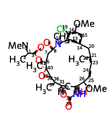 CN[C@H](C)C(=O)O[C@H]1CC(=O)N(C)c2cc(cc(OC)c2Cl)C/C(C)=C/C=C/[C@@H](OC)[C@@]2(O)C[C@H](OC(=O)N2)[C@@H](C)C2O[C@]21C